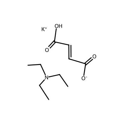 CCN(CC)CC.O=C([O-])/C=C/C(=O)O.[K+]